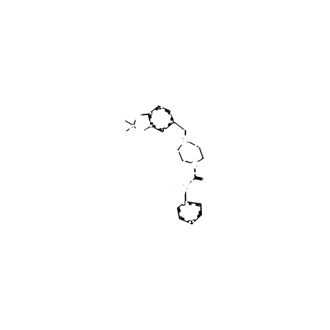 O=C(Nc1ccccc1)N1CCN(Cc2ccc3c(c2)OC(F)(F)O3)CC1